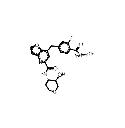 CCCNC(=O)c1ccc(Cc2cc(C(=O)N[C@H]3CCOC[C@@H]3O)nc3ccoc23)cc1F